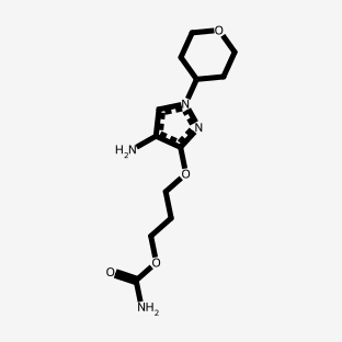 NC(=O)OCCCOc1nn(C2CCOCC2)cc1N